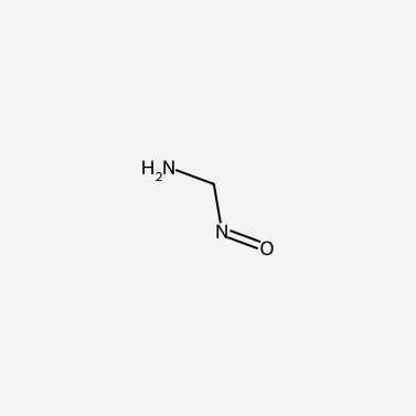 NCN=O